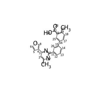 Cc1cc(-c2ccoc2)nc(-c2cccc(-c3ccc(C)c(C(=O)O)c3)c2)n1